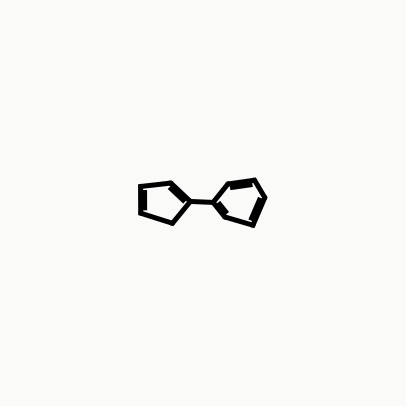 C1=CCC(c2ccccc2)=C1